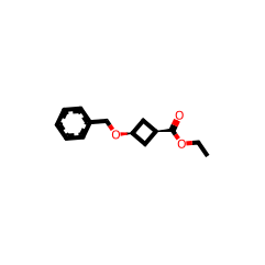 CCOC(=O)[C@H]1C[C@@H](OCc2ccccc2)C1